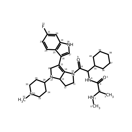 CNC(C)C(=O)NC(C(=O)N1CCC2C1=C(c1c[nH]c3cc(F)ccc13)CN2C1CCN(C)CC1)C1CCCCC1